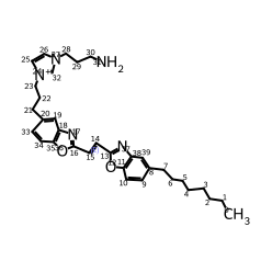 CCCCCCCCc1ccc2oc(/C=C/c3nc4cc(CCC[n+]5ccn(CCCN)c5)ccc4o3)nc2c1